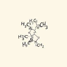 C=C1CC[C@](C)(CN(C)CC(C)C)N1C